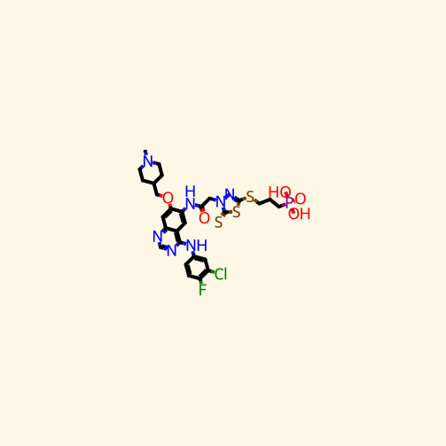 CN1CCC(COc2cc3ncnc(Nc4ccc(F)c(Cl)c4)c3cc2NC(=O)Cn2nc(SCCCP(=O)(O)O)sc2=S)CC1